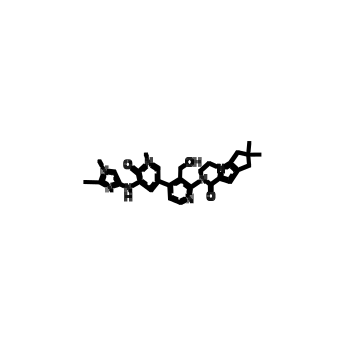 Cc1nc(Nc2cc(-c3ccnc(N4CCn5c(cc6c5CC(C)(C)C6)C4=O)c3CO)cn(C)c2=O)cn1C